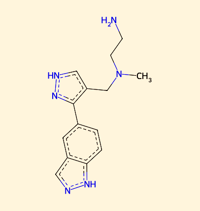 CN(CCN)Cc1c[nH]nc1-c1ccc2[nH]ncc2c1